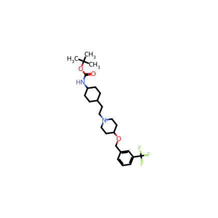 CC(C)(C)OC(=O)NC1CCC(CCN2CCC(OCc3cccc(C(F)(F)F)c3)CC2)CC1